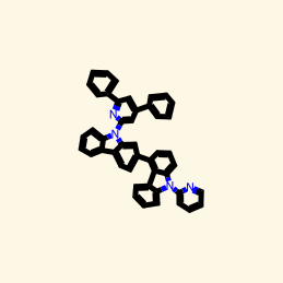 c1ccc(-c2cc(-c3ccccc3)nc(-n3c4ccccc4c4ccc(-c5cccc6c5c5ccccc5n6-c5ccccn5)cc43)c2)cc1